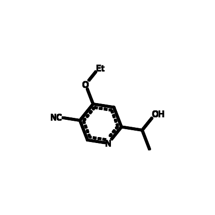 CCOc1cc(C(C)O)ncc1C#N